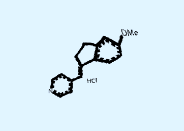 COc1ccc2c(c1)CCC2=Cc1ccncc1.Cl